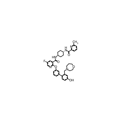 Cc1cccc(C(=O)N[C@H]2CC[C@H](NC(=O)c3cc(F)cnc3Oc3cccc(-c4ccc(O)cc4CN4CCCOCC4)c3)CC2)n1